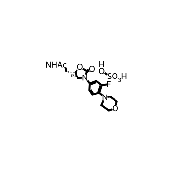 CC(=O)NC[C@H]1CN(c2ccc(N3CCOCC3)c(F)c2)C(=O)O1.O=S(=O)(O)O